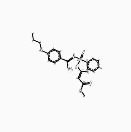 CCCOc1ccc(C(N)=NP(=S)(OC(C)=CC(=O)OC)c2ccccc2)cc1